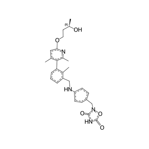 Cc1cc(OCC[C@@H](C)O)nc(C)c1-c1cccc(CNc2ccc(Cn3oc(=O)[nH]c3=O)cc2)c1C